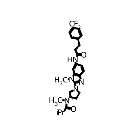 CC(C)C(=O)N(C)[C@@H]1CCN(c2nc3ccc(NC(=O)CCc4ccc(C(F)(F)F)cc4)cc3n2C)C1